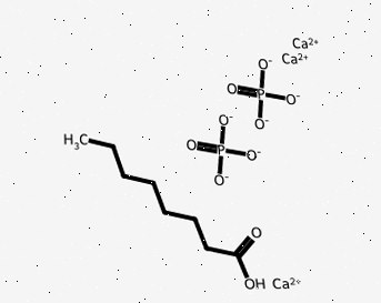 CCCCCCCC(=O)O.O=P([O-])([O-])[O-].O=P([O-])([O-])[O-].[Ca+2].[Ca+2].[Ca+2]